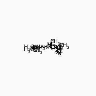 Cc1cc(N2CCc3c(c(C)nn3CCCCCNC(=O)OC(C)(C)C)C2)c2ccncc2n1